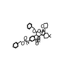 CN(C(=O)OCc1ccccc1)c1ccc(C(C(=O)OCc2ccccc2)C(=O)c2nn(C3CCCCO3)c3c2CCC(C)(C)C3)c([N+](=O)[O-])c1